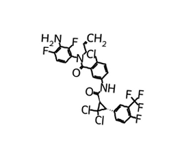 C=CCN(C(=O)c1cc(NC(=O)[C@H]2[C@H](c3ccc(F)c(C(F)(F)F)c3)C2(Cl)Cl)ccc1Cl)c1ccc(F)c(N)c1F